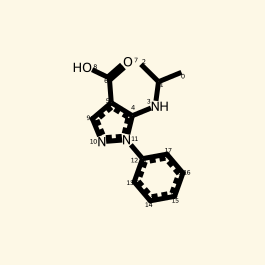 CC(C)Nc1c(C(=O)O)cnn1-c1ccccc1